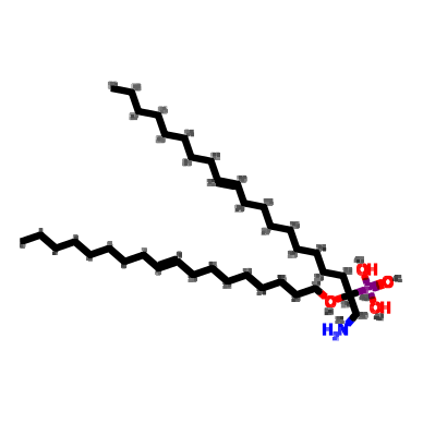 CCCCCCCCC=CCCCCCCCCOC(CN)(CCCCCCCCC=CCCCCCCCC)P(=O)(O)O